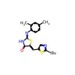 Cc1ccc(/N=C2/NC(=O)/C(=C/c3cnc(C(C)(C)C)s3)S2)c(C)c1